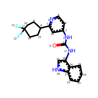 O=C(Nc1ccnc(C2CCC(F)(F)CC2)c1)Nc1c[nH]c2ccccc12